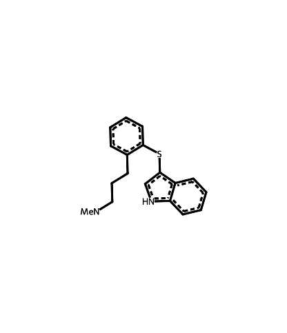 CNCCCc1ccccc1Sc1c[nH]c2ccccc12